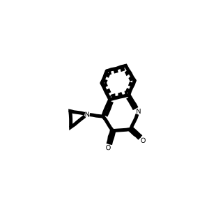 O=C1N=c2ccccc2=C(N2CC2)C1=O